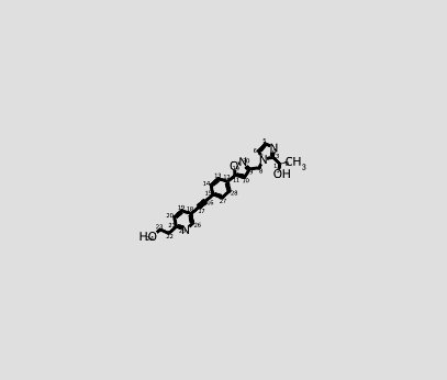 C[C@H](O)c1nccn1Cc1cc(-c2ccc(C#Cc3ccc(CCO)nc3)cc2)on1